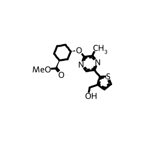 COC(=O)[C@H]1CCC[C@H](Oc2ncc(-c3sccc3CO)nc2C)C1